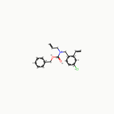 C=CCN(Cc1ccc(Cl)cc1C=C)C(=O)OCc1ccccc1